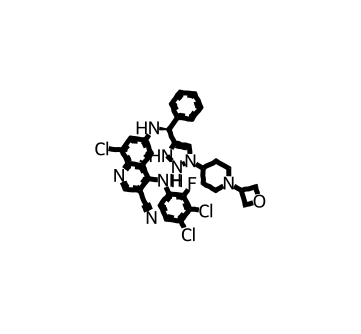 N#Cc1cnc2c(Cl)cc(N[C@H](C3=CN(C4CCN(C5COC5)CC4)NN3)c3ccccc3)cc2c1Nc1ccc(Cl)c(Cl)c1F